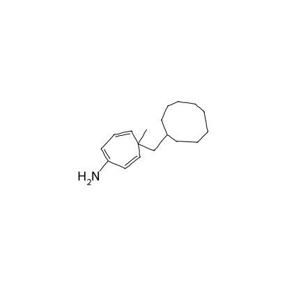 CC1(CC2CCCCCCCC2)C=CC=C(N)C=C1